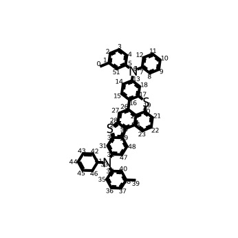 Cc1cccc(N(c2ccccc2)c2ccc3c(c2)Sc2cccc4c2c-3cc2sc3cc(N(c5cccc(C)c5)C5C=CC=CC5)ccc3c24)c1